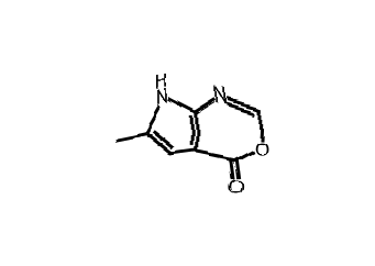 Cc1cc2c(=O)ocnc2[nH]1